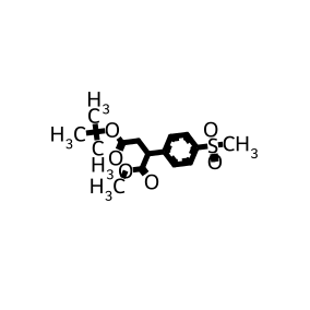 COC(=O)C(CC(=O)OC(C)(C)C)c1ccc(S(C)(=O)=O)cc1